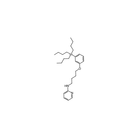 CCC[CH2][Sn]([CH2]CCC)([CH2]CCC)[c]1cccc(OCCCCNc2ccccn2)c1